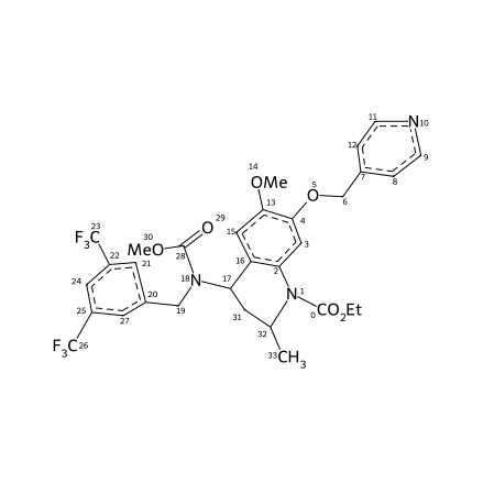 CCOC(=O)N1c2cc(OCc3ccncc3)c(OC)cc2C(N(Cc2cc(C(F)(F)F)cc(C(F)(F)F)c2)C(=O)OC)CC1C